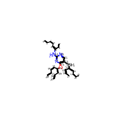 C=C/C=C\C=C(/C=C)Nc1ncc(BC(/C=C\C)=C/C=C\C)c(OC(/C=C\C=C)=C/C=C)n1